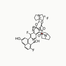 C#Cc1c(F)ccc2cc(O)cc(-c3ncc4c(N5CC6CCC(C5)N6C(=O)[C@H]5OC(=O)[C@H]5C(C)C)nc(OC[C@@]56CCCN5C[C@H](F)C6)nc4c3F)c12